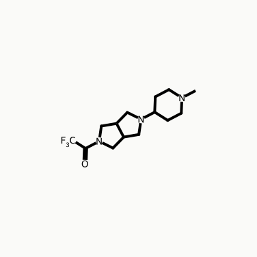 CN1CCC(N2CC3CN(C(=O)C(F)(F)F)CC3C2)CC1